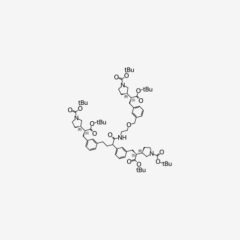 CC(C)(C)OC(=O)[C@@H](Cc1cccc(CCC(C(=O)NCCOCc2cccc(C[C@H](C(=O)OC(C)(C)C)[C@H]3CCN(C(=O)OC(C)(C)C)C3)c2)c2cccc(C[C@H](C(=O)OC(C)(C)C)[C@H]3CCN(C(=O)OC(C)(C)C)C3)c2)c1)[C@H]1CCN(C(=O)OC(C)(C)C)C1